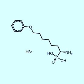 Br.N[C@H](CCCCCCOc1ccccc1)P(=O)(O)O